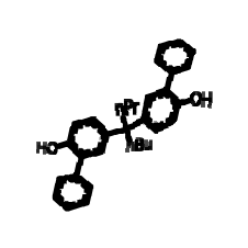 CCCCC(CCC)(c1ccc(O)c(-c2ccccc2)c1)c1ccc(O)c(-c2ccccc2)c1